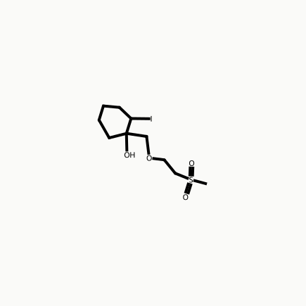 CS(=O)(=O)CCOCC1(O)CCCCC1I